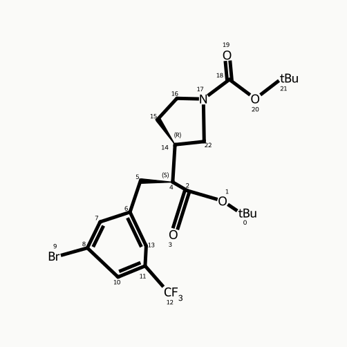 CC(C)(C)OC(=O)[C@@H](Cc1cc(Br)cc(C(F)(F)F)c1)[C@H]1CCN(C(=O)OC(C)(C)C)C1